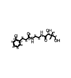 CC(C)(CO)[C@@H](O)C(=O)NCCNC(=O)CCc1ccccc1Cl